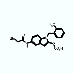 CC(C)(C)CC(=O)Nc1ccc2c(c1)cc(OC(=O)O)n2Cc1ccccc1C(F)(F)F